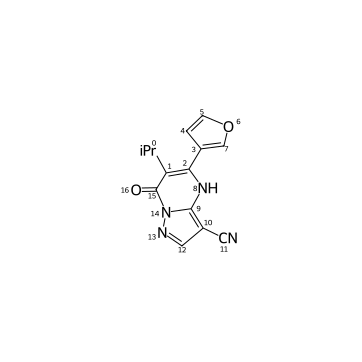 CC(C)c1c(-c2ccoc2)[nH]c2c(C#N)cnn2c1=O